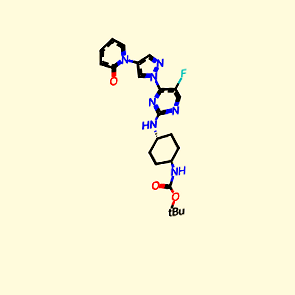 CC(C)(C)OC(=O)N[C@H]1CC[C@H](Nc2ncc(F)c(-n3cc(-n4ccccc4=O)cn3)n2)CC1